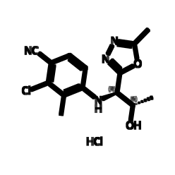 Cc1nnc([C@H](Nc2ccc(C#N)c(Cl)c2C)[C@H](C)O)o1.Cl